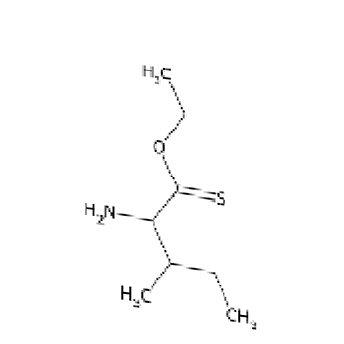 CCOC(=S)C(N)C(C)CC